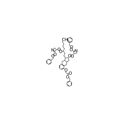 CCCCCC(CCC1C(OOC2CN=C2OOCc2ccccc2)CC2Cc3c(cccc3OCC(=O)OCc3ccccc3)CC21)OOC1CN=C1OOCc1ccccc1